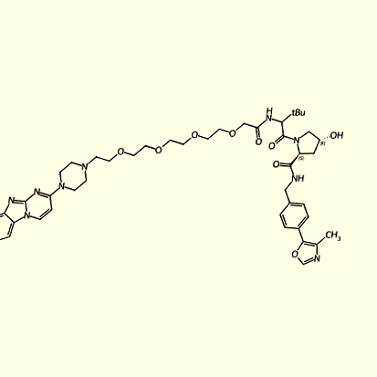 Cc1ncoc1-c1ccc(CNC(=O)[C@@H]2C[C@@H](O)CN2C(=O)C(NC(=O)COCCOCCOCCOCCN2CCN(c3ccn4c(n3)nc3ccccc34)CC2)C(C)(C)C)cc1